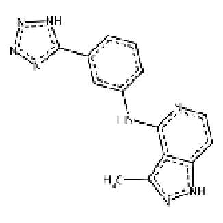 Cc1n[nH]c2ccnc(Nc3cccc(-c4nnn[nH]4)c3)c12